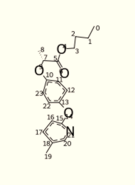 CCCCOC(=O)[C@@H](C)Oc1ccc(Oc2ccc(C)cn2)cc1